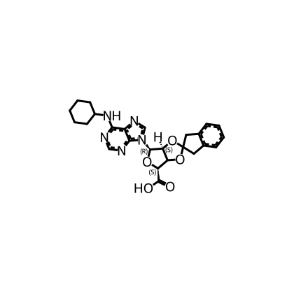 O=C(O)[C@H]1O[C@@H](n2cnc3c(NC4CCCCC4)ncnc32)[C@H]2OC3(Cc4ccccc4C3)OC12